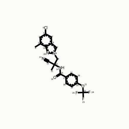 Cc1cc(Cl)cc2cn(CC(C)(C#N)NC(=O)c3ccc(OC(F)(F)F)cc3)nc12